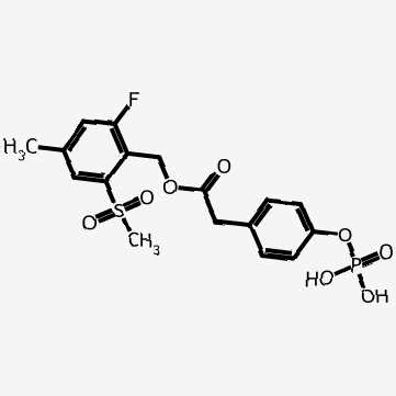 Cc1cc(F)c(COC(=O)Cc2ccc(OP(=O)(O)O)cc2)c(S(C)(=O)=O)c1